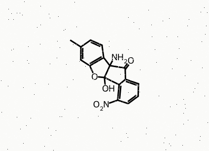 Cc1ccc2c(c1)OC1(O)c3c(cccc3[N+](=O)[O-])C(=O)C21N